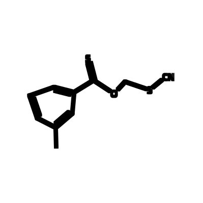 Cc1cccc(C(=S)OCSC#N)c1